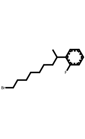 CC(CCCCCCCBr)c1ccccc1F